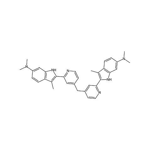 Cc1c(-c2cc(Cc3ccnc(-c4[nH]c5cc(N(C)C)ccc5c4C)c3)ccn2)[nH]c2cc(N(C)C)ccc12